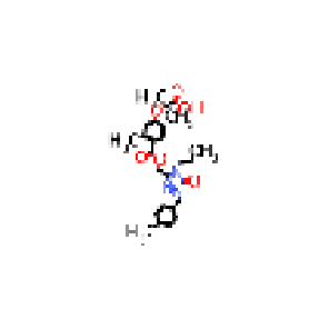 CCCn1c(COC(=O)c2ccc(OC(C)(C)C(=O)O)cc2C)nn(Cc2ccc(C)cc2)c1=O